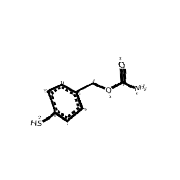 NC(=O)OCc1ccc(S)cc1